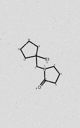 C[CH]C1(CN2CCCC2=O)CCCC1